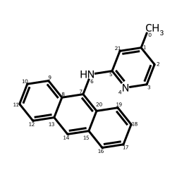 Cc1ccnc(Nc2c3ccccc3cc3ccccc23)c1